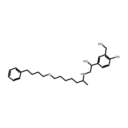 CC(CCCCCOCCCCc1ccccc1)NCC(O)c1ccc(O)c(CO)c1